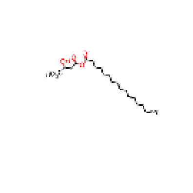 CC(C)CCCCCCCCCCCCCCC(=O)OC(=O)CC(O)C(=O)O